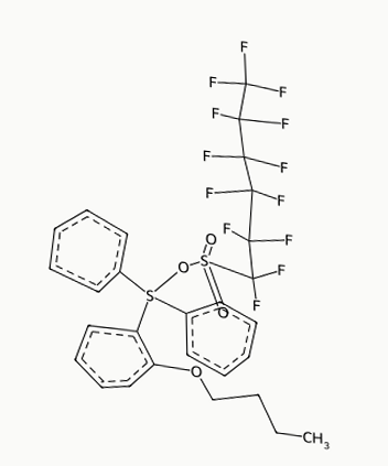 CCCCOc1ccccc1S(OS(=O)(=O)C(F)(F)C(F)(F)C(F)(F)C(F)(F)C(F)(F)C(F)(F)F)(c1ccccc1)c1ccccc1